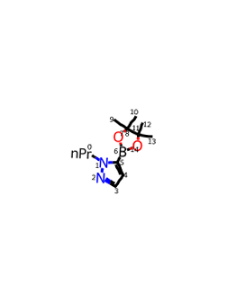 CCCn1nccc1B1OC(C)(C)C(C)(C)O1